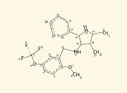 COc1ccc(OC(F)(F)F)cc1CNC1C(c2ccccc2)NC(C)C1C